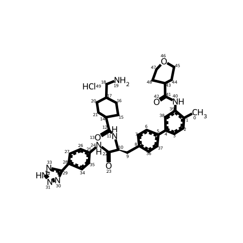 Cc1ccc(-c2ccc(C[C@H](NC(=O)C3CCC(CN)CC3)C(=O)Nc3ccc(-c4nn[nH]n4)cc3)cc2)cc1NC(=O)C1CCOCC1.Cl